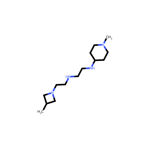 CC1CN(CCNCCNC2CCN(C)CC2)C1